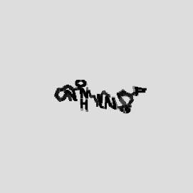 Cn1c(C(=O)NCCCCN2CCCN(c3csc4cc(F)ccc34)CC2)cc2ccccc21